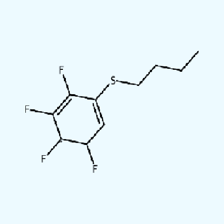 CCCCSC1=CC(F)[C](F)C(F)=C1F